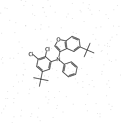 CC(C)(C)c1cc(Cl)c(Cl)c(N(c2ccccc2)c2coc3ccc(C(C)(C)C)cc23)c1